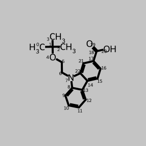 CC(C)(C)OCCn1c2ccccc2c2ccc(C(=O)O)cc21